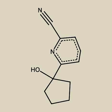 N#Cc1cccc(C2(O)CCCC2)n1